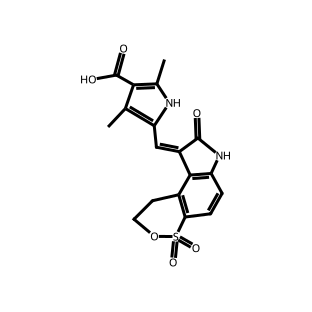 Cc1[nH]c(/C=C2\C(=O)Nc3ccc4c(c32)CCOS4(=O)=O)c(C)c1C(=O)O